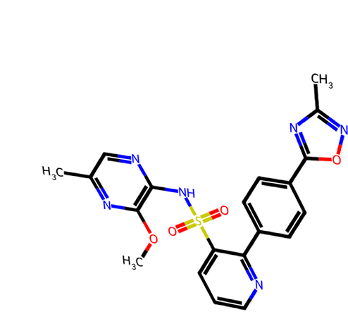 COc1nc(C)cnc1NS(=O)(=O)c1cccnc1-c1ccc(-c2nc(C)no2)cc1